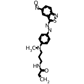 C=CC(=O)NCCCN(C)c1ccc(/N=N/c2snc3ccc(N=O)cc23)cc1